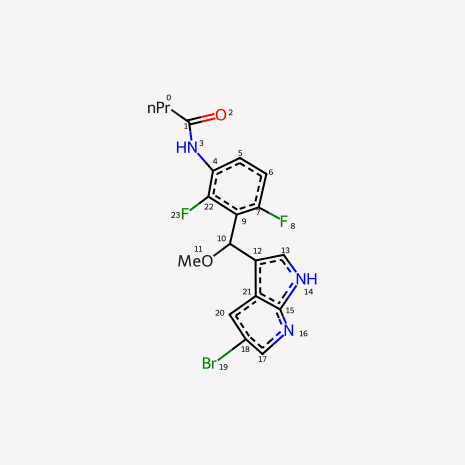 CCCC(=O)Nc1ccc(F)c(C(OC)c2c[nH]c3ncc(Br)cc23)c1F